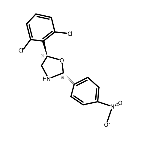 O=[N+]([O-])c1ccc([C@@H]2NC[C@@H](c3c(Cl)cccc3Cl)O2)cc1